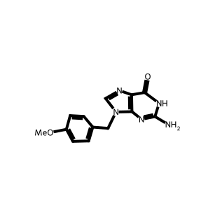 COc1ccc(Cn2cnc3c(=O)[nH]c(N)nc32)cc1